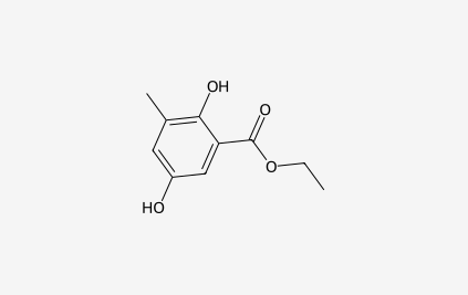 CCOC(=O)c1cc(O)cc(C)c1O